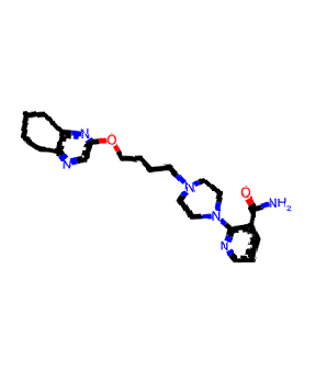 NC(=O)c1cccnc1N1CCN(CCCCOc2cnc3c(n2)CCCC3)CC1